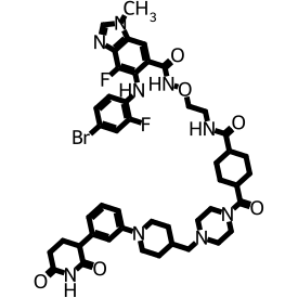 Cn1cnc2c(F)c(Nc3ccc(Br)cc3F)c(C(=O)NOCCNC(=O)C3CCC(C(=O)N4CCN(CC5CCN(c6cccc(C7CCC(=O)NC7=O)c6)CC5)CC4)CC3)cc21